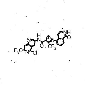 O=C(Nc1cnc2cc(C(F)(F)F)nc(Cl)c2c1)c1cnn(-c2cccc3c(=O)[nH]ccc23)c1C(F)(F)F